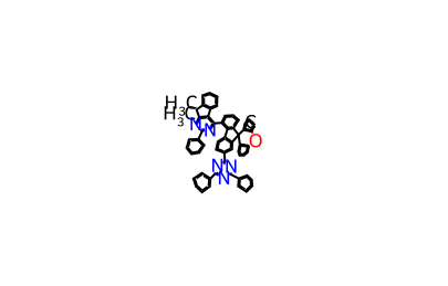 CC1(C)c2ccccc2-c2c(-c3cccc4c3-c3ccc(-c5nc(-c6ccccc6)nc(-c6ccccc6)n5)cc3C43c4ccccc4Oc4ccccc43)nc(-c3ccccc3)nc21